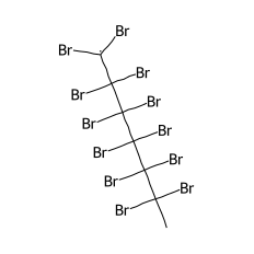 CC(Br)(Br)C(Br)(Br)C(Br)(Br)C(Br)(Br)C(Br)(Br)[C](Br)Br